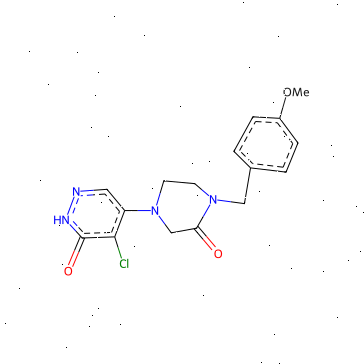 COc1ccc(CN2CCN(c3cn[nH]c(=O)c3Cl)CC2=O)cc1